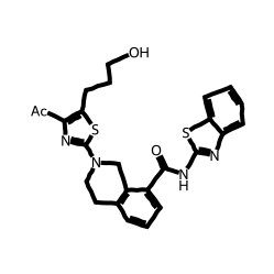 CC(=O)c1nc(N2CCc3cccc(C(=O)Nc4nc5ccccc5s4)c3C2)sc1CCCO